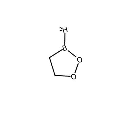 [2H]B1CCOO1